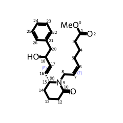 COC(=O)CCC/C=C\CN1C(=O)CCC[C@@H]1/C=C/C(O)Cc1ccccc1